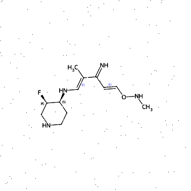 CNO/C=C/C(=N)/C(C)=C/N[C@H]1CCNC[C@H]1F